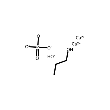 CCCO.O=P([O-])([O-])[O-].[Ca+2].[Ca+2].[OH-]